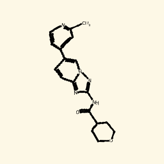 Cc1cc(-c2ccc3nc(NC(=O)C4CCOCC4)nn3c2)ccn1